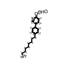 CC(C)CCCCCCCCc1ccc(-c2ccc(OC=O)nn2)cc1